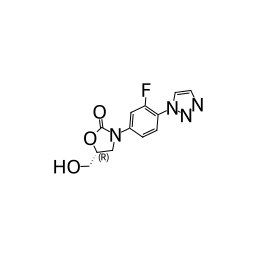 O=C1O[C@@H](CO)CN1c1ccc(-n2ccnn2)c(F)c1